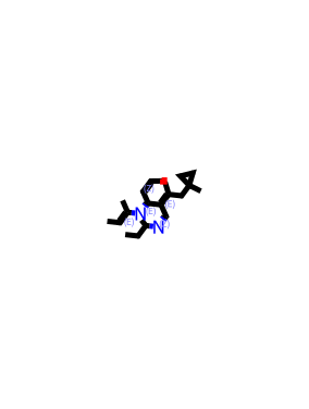 C\C=C/C(=N\C(C)=C\C)C(/C=N\C(C)CC)=C(\C)CC1(C)CC1